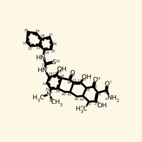 CC1C(O)=C(C(N)=O)C(=O)C2C(O)=C3C(=O)c4c(O)c(NC(=S)Nc5cccc6ccccc56)cc(N(C)C)c4CC3CC12